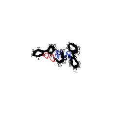 c1ccc2c(c1)oc1c(Oc3ccc(-n4c5ccccc5c5ccccc54)cn3)cccc12